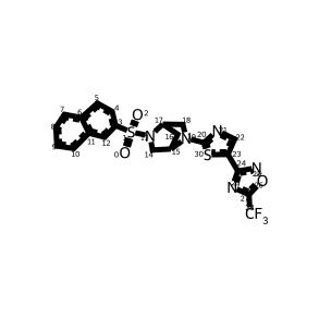 O=S(=O)(c1ccc2ccccc2c1)N1CC2CC1CN2c1ncc(-c2noc(C(F)(F)F)n2)s1